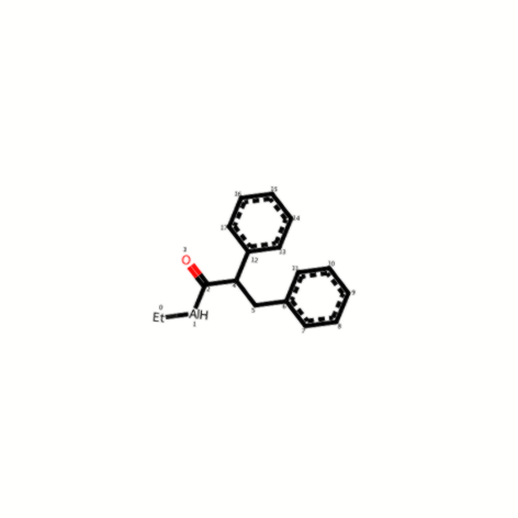 C[CH2][AlH][C](=O)C(Cc1ccccc1)c1ccccc1